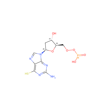 Nc1nc(S)c2ncn([C@H]3C[C@H](O)[C@@H](COO[PH](=O)O)O3)c2n1